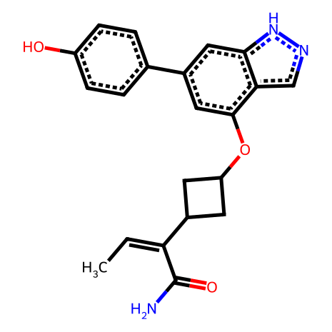 CC=C(C(N)=O)C1CC(Oc2cc(-c3ccc(O)cc3)cc3[nH]ncc23)C1